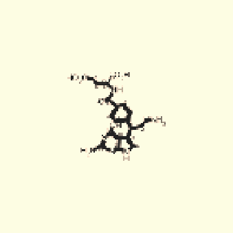 NCCC(c1ccc(C(=O)N[C@@H](CCC(=O)O)C(=O)O)cc1)c1c[nH]c2nc(N)nc(O)c12